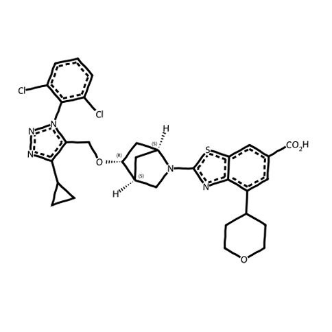 O=C(O)c1cc(C2CCOCC2)c2nc(N3C[C@@H]4C[C@H]3C[C@H]4OCc3c(C4CC4)nnn3-c3c(Cl)cccc3Cl)sc2c1